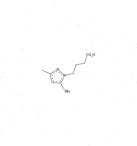 Cc1cc(C(C)(C)C)n(CCCC(=O)O)n1